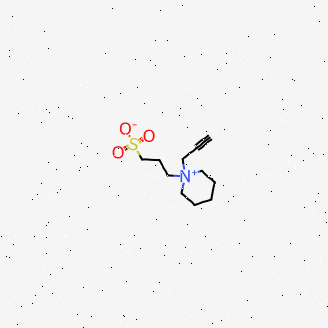 C#CC[N+]1(CCCS(=O)(=O)[O-])CCCCC1